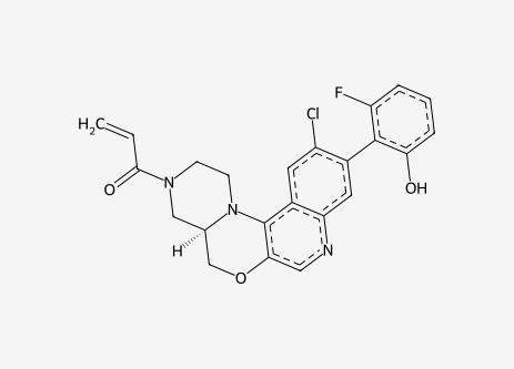 C=CC(=O)N1CCN2c3c(cnc4cc(-c5c(O)cccc5F)c(Cl)cc34)OC[C@H]2C1